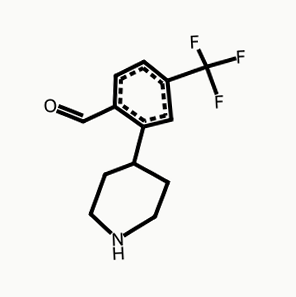 O=Cc1ccc(C(F)(F)F)cc1C1CCNCC1